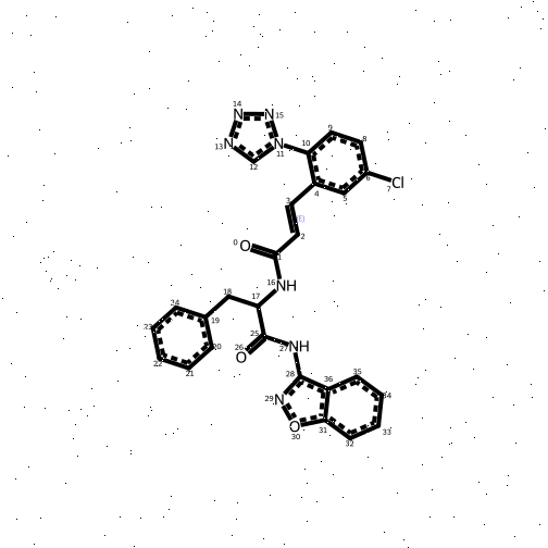 O=C(/C=C/c1cc(Cl)ccc1-n1cnnn1)NC(Cc1ccccc1)C(=O)Nc1noc2ccccc12